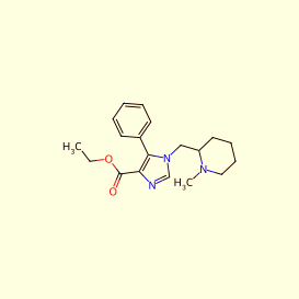 CCOC(=O)c1ncn(CC2CCCCN2C)c1-c1ccccc1